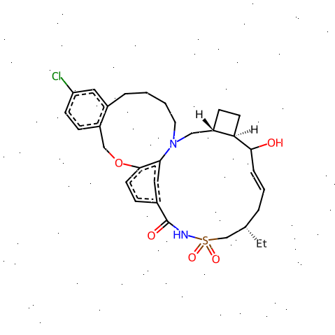 CC[C@H]1C/C=C/C(O)[C@@H]2CC[C@H]2CN2CCCCc3cc(Cl)ccc3COc3ccc(cc32)C(=O)NS(=O)(=O)C1